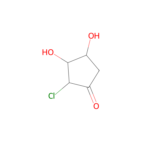 O=C1CC(O)C(O)C1Cl